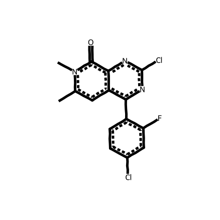 Cc1cc2c(-c3ccc(Cl)cc3F)nc(Cl)nc2c(=O)n1C